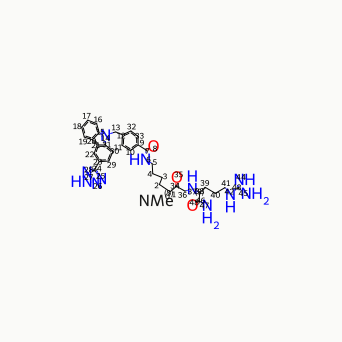 CN[C@@H](CCCCNC(=O)c1ccc(Cn2c3ccccc3c3cc(-c4nn[nH]n4)ccc32)cc1)C(=O)CN[C@@H](CCCNC(=N)N)C(N)=O